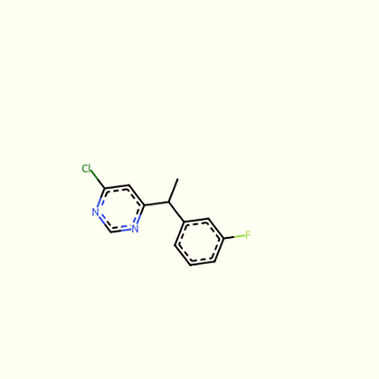 CC(c1cccc(F)c1)c1cc(Cl)ncn1